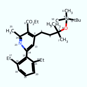 CCOC(=O)c1c(CCC(C)(C)O[Si](C)(C)C(C)(C)C)cc(-c2c(CC)cccc2CC)nc1C